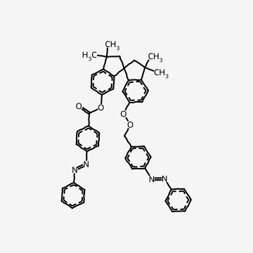 CC1(C)CC2(CC(C)(C)c3ccc(OC(=O)c4ccc(/N=N/c5ccccc5)cc4)cc32)c2cc(OOCc3ccc(/N=N/c4ccccc4)cc3)ccc21